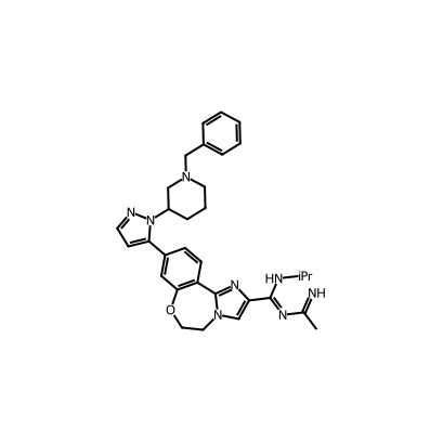 CC(=N)/N=C(\NC(C)C)c1cn2c(n1)-c1ccc(-c3ccnn3C3CCCN(Cc4ccccc4)C3)cc1OCC2